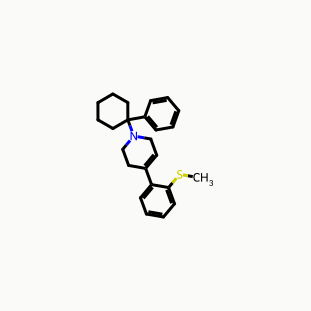 CSc1ccccc1C1=CCN(C2(c3ccccc3)CCCCC2)CC1